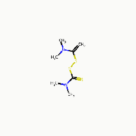 C=C(SSC(=S)N(C)C)N(C)C